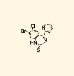 S=C1CN=C(c2ccccn2)c2cc(Cl)c(Br)cc2N1